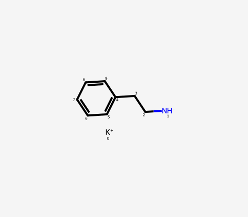 [K+].[NH-]CCc1ccccc1